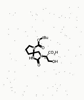 CC(C)(C)OC(=O)N1CCCC12CN([C@@H](CO)C(=O)O)C(=O)N2